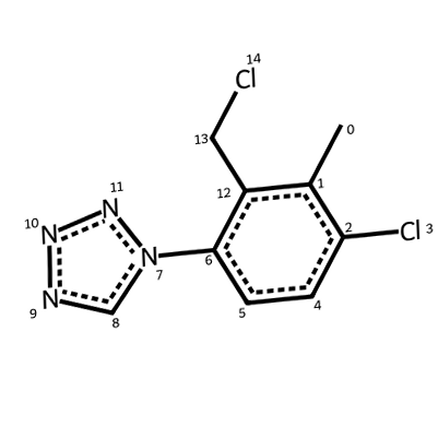 Cc1c(Cl)ccc(-n2cnnn2)c1CCl